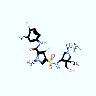 CCOC(=O)N1CC(NS(=O)(=O)c2cn(C)c(C(=O)Nc3ccc(F)c(C)c3)c2F)C(C)(CO)C1